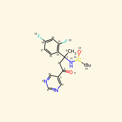 CC(CC(=O)c1cncnc1)(N[S+]([O-])C(C)(C)C)c1ccc(F)cc1F